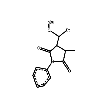 CCCCOC(CC)C1C(=O)N(c2ccccc2)C(=O)C1C